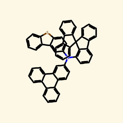 c1ccc2c(c1)-c1ccccc1C21c2ccccc2-c2cccc(N(c3ccc4sc5ccccc5c4c3)c3ccc4c5ccccc5c5ccccc5c4c3)c21